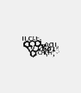 CC1(C)c2ccc(B3OC(C)(C)C(C)(C)O3)c3c2-n2c4c1cccc4c1cccc(c12)C3(C)C